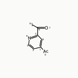 CC(=O)c1ccnc(C(=O)I)c1